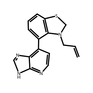 C=CCN1[CH]Sc2cccc(-c3ccnc4[nH]cnc34)c21